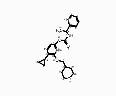 O=C(NC(c1ccccn1)C(F)(F)F)Oc1ccc(C2CC2)c(OCC2CCOCC2)n1